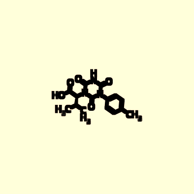 Cc1ccc(-n2c(=O)[nH]c(=O)n([C@H](C(=O)O)C(C)C)c2=O)cc1